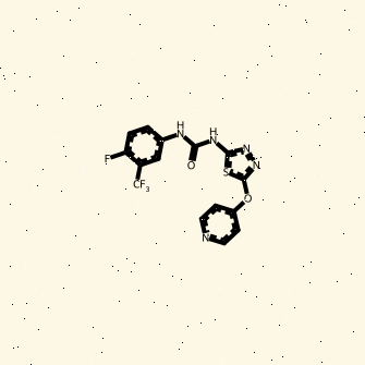 O=C(Nc1ccc(F)c(C(F)(F)F)c1)Nc1nnc(Oc2ccncc2)s1